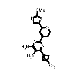 COc1ncc(C2C=C(c3nc(N)c(N)c(C45CC(C(F)(F)F)(C4)C5)n3)CCO2)s1